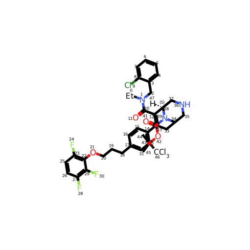 CCN(Cc1ccccc1Cl)C(=O)C1=C(c2ccc(CCCOc3c(F)ccc(F)c3F)cc2)CC2CNC[C@H]1N2C(=O)OC(C)(C)C(Cl)(Cl)Cl